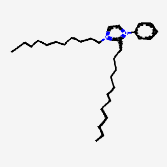 CCCCCCCCCCCCc1n(-c2ccccc2)cc[n+]1CCCCCCCCCCC